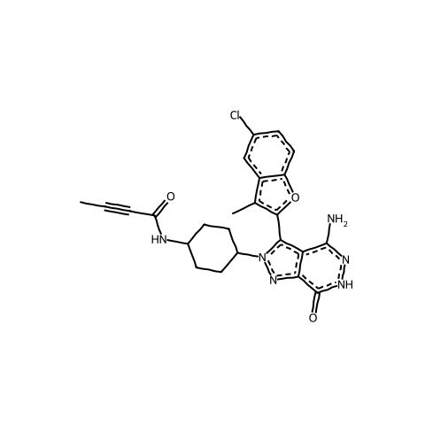 CC#CC(=O)NC1CCC(n2nc3c(=O)[nH]nc(N)c3c2-c2oc3ccc(Cl)cc3c2C)CC1